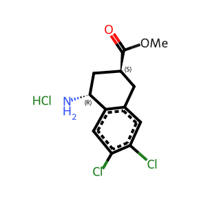 COC(=O)[C@H]1Cc2cc(Cl)c(Cl)cc2[C@H](N)C1.Cl